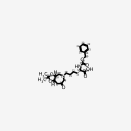 CC1(C)O[C@H]2CC(=O)CN(CCCC[C@H](NC(=O)OCc3ccccc3)C(=O)O)C[C@H]2O1